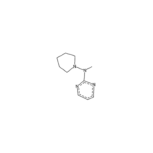 CN(c1ncccn1)N1CCCCC1